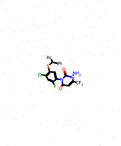 CC(=O)C(Sc1cc(-n2c(=O)cc(C(F)(F)F)n(N)c2=O)c(F)cc1Cl)C(C)C